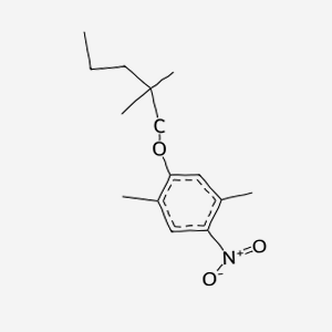 CCCC(C)(C)COc1cc(C)c([N+](=O)[O-])cc1C